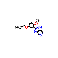 C#CCOc1ccc(OCC)c(-c2nc3cnccc3[nH]2)c1